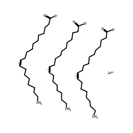 CCCCCCCC/C=C\CCCCCCCCCC(=O)[O-].CCCCCCCC/C=C\CCCCCCCCCC(=O)[O-].CCCCCCCC/C=C\CCCCCCCCCC(=O)[O-].[La+3]